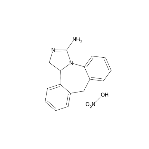 NC1=NCC2c3ccccc3Cc3ccccc3N12.O=[N+]([O-])O